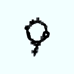 C=C1NCC(C)(C)CNCCCOc2ccc(cc2)CNc2cc(nc(OCC(F)(F)F)n2)Nc2ccc1cc2